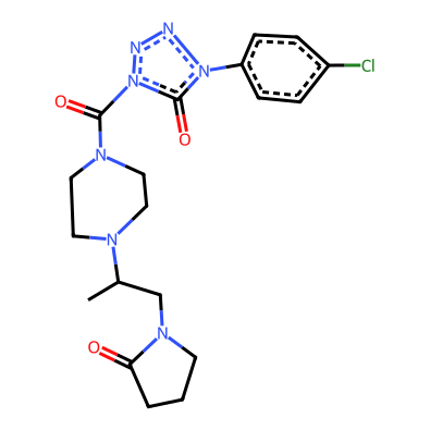 CC(CN1CCCC1=O)N1CCN(C(=O)n2nnn(-c3ccc(Cl)cc3)c2=O)CC1